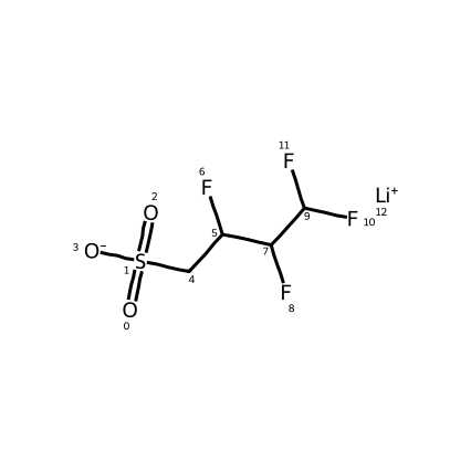 O=S(=O)([O-])CC(F)C(F)C(F)F.[Li+]